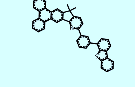 CC1(C)c2cc3c4ccccc4c4ccccc4c3cc2-c2nc(-c3cccc(-c4cccc5c4sc4ccccc45)c3)ccc21